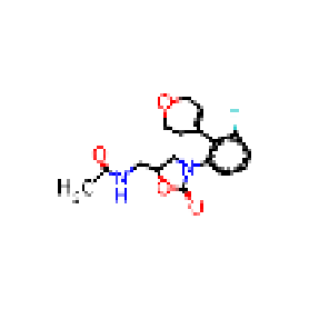 CC(=O)NCC1CN(c2cccc(F)c2C2=CCOCC2)C(=O)O1